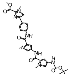 COC(=O)c1nc(-c2ccc(NC(=O)c3cc(NC(=O)c4cc(NC(=O)OC(C)(C)C)cn4C)cn3C)cc2)cn1C